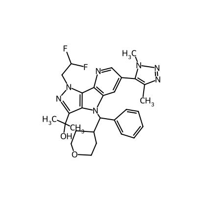 Cc1nnn(C)c1-c1cnc2c3c(c(C(C)(C)O)nn3CC(F)F)n(C(c3ccccc3)C3CCOCC3)c2c1